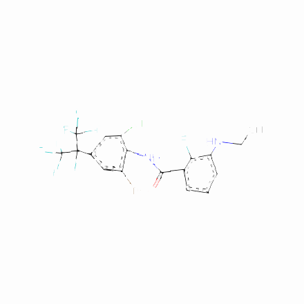 CCNc1cccc(C(=O)Nc2c(Cl)cc(C(F)(C(F)(F)F)C(F)(F)F)cc2Br)c1F